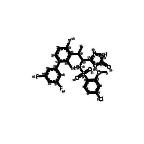 COc1cc(Cl)ccc1S(=O)(=O)NC(c1n[nH]c(=O)o1)C(C)c1c(F)ccc(-c2cc(F)cc(F)c2)c1C